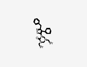 CC(C)CN1CN(CC(C)C)C(=O)N(c2snc(Cc3ccccc3)c2-c2ccccc2)C1